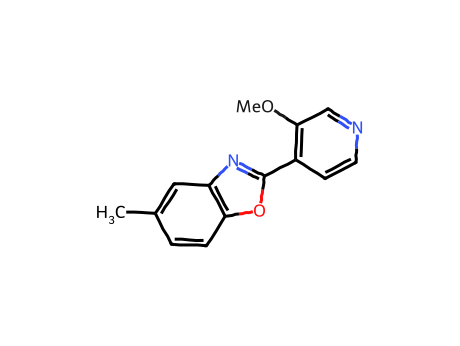 COc1cnccc1-c1nc2cc(C)ccc2o1